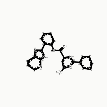 Cc1cc(C(=O)Nc2ccccc2-c2nc3cccnc3s2)nc(-c2ccccc2)n1